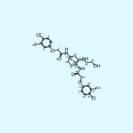 O=C(COc1ccc(Cl)c(F)c1)NC12CCC(NC(=O)COc3ccc(Cl)c(F)c3)(CC1)C(NCCO)C2